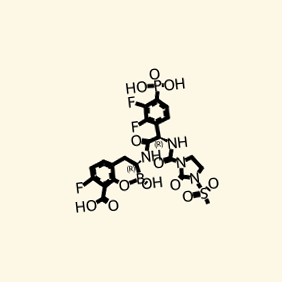 CS(=O)(=O)N1CCN(C(=O)N[C@@H](C(=O)N[C@H]2Cc3ccc(F)c(C(=O)O)c3OB2O)c2ccc(P(=O)(O)O)c(F)c2F)C1=O